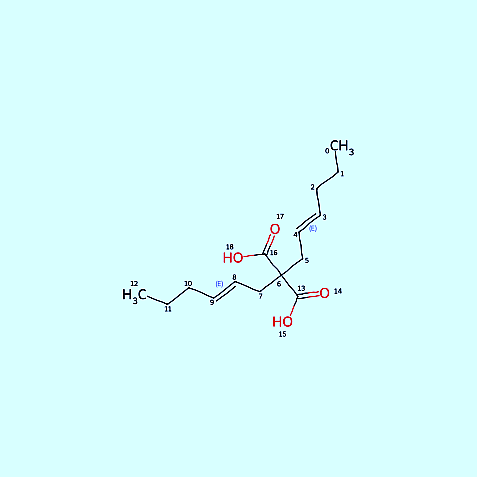 CCC/C=C/CC(C/C=C/CCC)(C(=O)O)C(=O)O